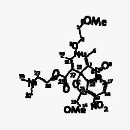 COCCON1C(C)=C([PH2]=O)C(OCCOC)(c2cccc([N+](=O)[O-])c2)C(C(=O)OCCN(C)C)=C1C